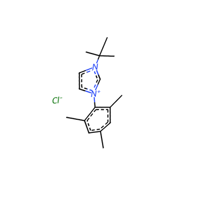 Cc1cc(C)c(-[n+]2ccn(C(C)(C)C)c2)c(C)c1.[Cl-]